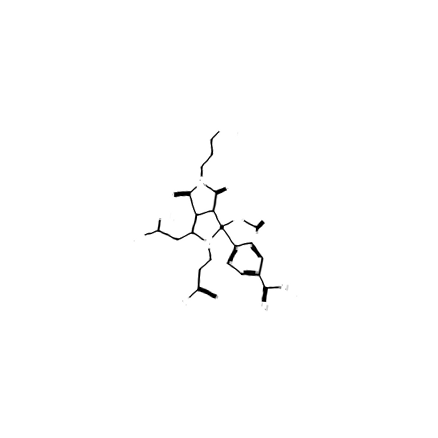 CCCCN1C(=O)C2C(CC(C)C)N(CCC(N)=O)C(OC(=O)O)(c3ccc(C(=N)N)cc3)C2C1=O